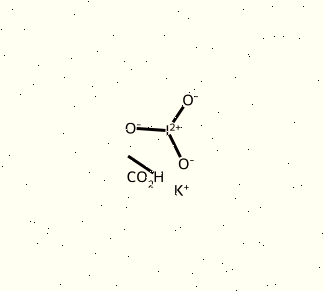 CC(=O)O.[K+].[O-][I+2]([O-])[O-]